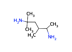 CC(N)C(C)CC(C)(C)N